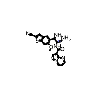 COc1cc2sc(C#N)cc2cc1C(=N)/C(=C\N)NC(=O)c1cnn2cccnc12